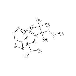 CNCC(C)(C(=O)OC1(C(C)C)C2CC3CC(C2)CC1C3)C(C)(C)C